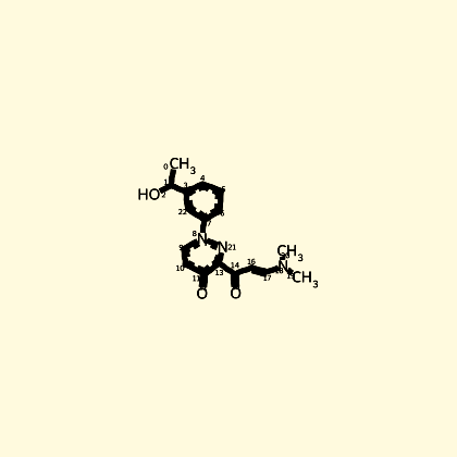 CC(O)c1cccc(-n2ccc(=O)c(C(=O)C=CN(C)C)n2)c1